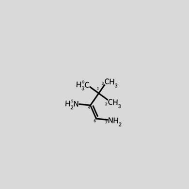 CC(C)(C)/C(N)=C\N